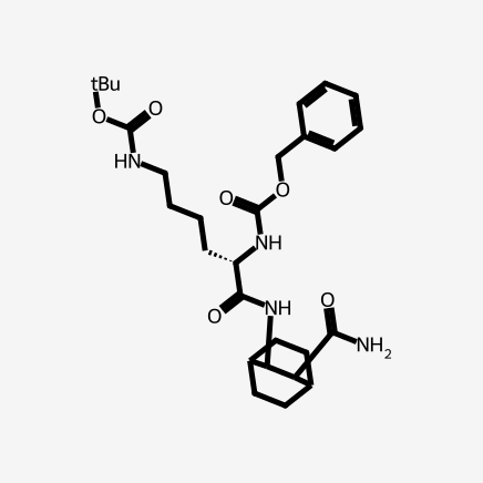 CC(C)(C)OC(=O)NCCCC[C@H](NC(=O)OCc1ccccc1)C(=O)NC1C2CCC(CC2)C1C(N)=O